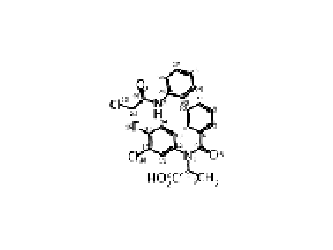 C[C@H](C(=O)O)N(C(=O)c1ccccc1)c1ccc(F)c(Cl)c1.O=C(CCl)Nc1ccccc1